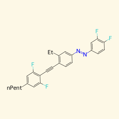 CCCCCc1cc(F)c(C#Cc2ccc(N=Nc3ccc(F)c(F)c3)cc2CC)c(F)c1